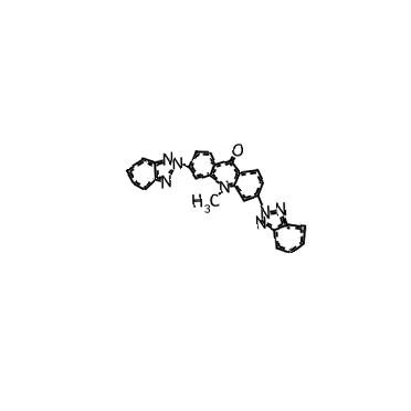 Cn1c2cc(-n3nc4ccccc4n3)ccc2c(=O)c2ccc(-n3nc4ccccc4n3)cc21